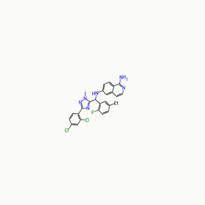 CCc1ccc(F)c(C(Nc2ccc3c(N)nccc3c2)c2nc(-c3ccc(Cl)cc3Cl)nn2C)c1